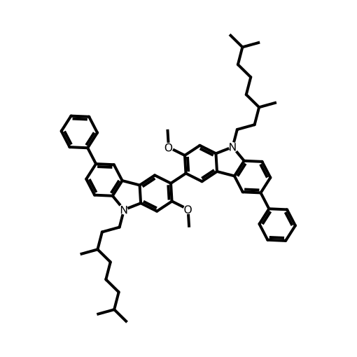 COc1cc2c(cc1-c1cc3c4cc(-c5ccccc5)ccc4n(CCC(C)CCCC(C)C)c3cc1OC)c1cc(-c3ccccc3)ccc1n2CCC(C)CCCC(C)C